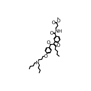 CCCCc1oc2ccc(C(=O)NCCC(=O)OC)cc2c1C(=O)c1ccc(OCCCN(CCCC)CCCC)cc1